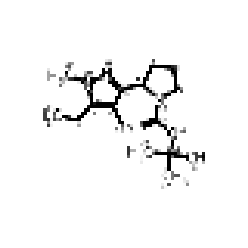 CCc1c(I)c(C2CCCN2C(=O)OC(C)(C)C)nn1C